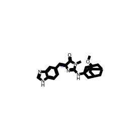 COC12CC3CC(CC(NC4=N/C(=C\c5ccc6[nH]cnc6c5)C(=O)N4C)(C3)C1)C2